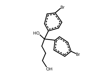 OCCCC(O)(c1ccc(Br)cc1)c1ccc(Br)cc1